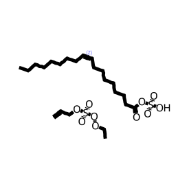 C=CCOS(=O)(=O)OOCC.CCCCCCCC/C=C\CCCCCCCC(=O)OS(=O)(=O)O